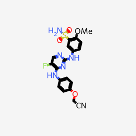 COc1ccc(Nc2ncc(F)c(Nc3ccc(OCC#N)cc3)n2)cc1S(N)(=O)=O